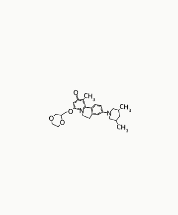 Cc1c2n(c(OCC3COCCO3)cc1=O)CCc1cc(N3CC(C)CC(C)C3)ccc1-2